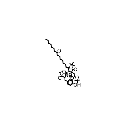 CCCCCCCC(=O)CCCCCC/C=C/[C@H](C(=O)N[C@@H](Cc1ccc(O)cc1)C(=O)OC)[C@@](O)(CC(=O)OC(C)(C)C)C(=O)OC(C)(C)C